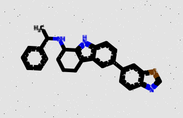 CC(NC1CCCc2c1[nH]c1ccc(-c3ccc4ncsc4c3)cc21)c1ccccc1